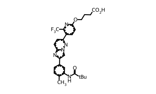 Cc1ccc(-c2cn3nc(-c4ccc(OCCCC(=O)O)nc4C(F)(F)F)ccc3n2)cc1NC(=O)C(C)(C)C